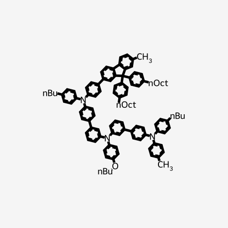 CCCCCCCCc1ccc(C2(c3ccc(CCCCCCCC)cc3)c3cc(C)ccc3-c3ccc(-c4ccc(N(c5ccc(CCCC)cc5)c5ccc(-c6cccc(N(c7ccc(OCCCC)cc7)c7cccc(-c8ccc(N(c9ccc(C)cc9)c9ccc(CCCC)cc9)cc8)c7)c6)cc5)cc4)cc32)cc1